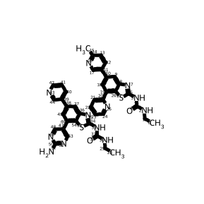 CCNC(=O)Nc1nc2cc(-c3ccc(C)nc3)cc(-c3ccccn3)c2s1.CCNC(=O)Nc1nc2cc(-c3cccnc3)cc(-c3cnc(N)nc3)c2s1